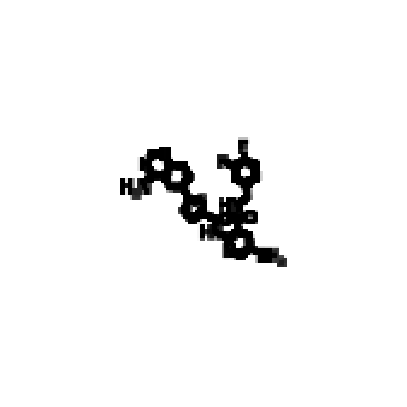 Bc1cnc(NCc2ccc(-c3ccc4ncnc(N)c4c3)s2)c(S(=O)(=O)NCc2ccc(F)c(F)c2)c1